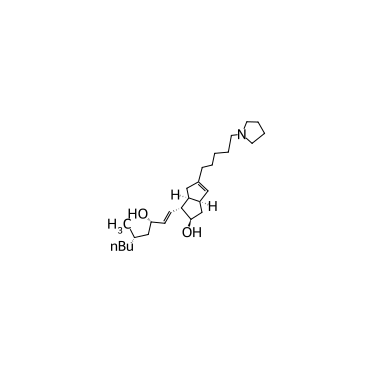 CCCC[C@H](C)C[C@H](O)/C=C/[C@@H]1[C@H]2CC(CCCCCN3CCCC3)=C[C@H]2C[C@H]1O